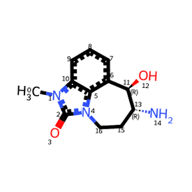 Cn1c(=O)n2c3c(cccc31)[C@@H](O)[C@H](N)CC2